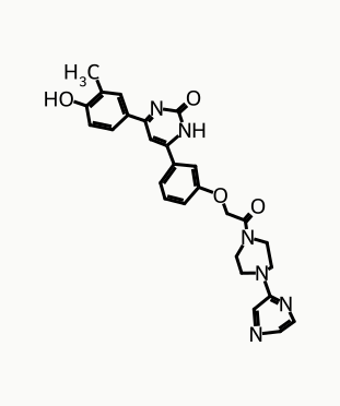 Cc1cc(-c2cc(-c3cccc(OCC(=O)N4CCN(c5cnccn5)CC4)c3)[nH]c(=O)n2)ccc1O